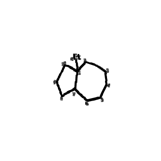 CCC12CCCCCC1CCC2